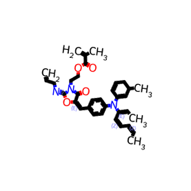 C=CC/N=C1/O/C(=C/c2ccc(N(C3=CC(C)CC=C3)C(/C=C\C=C/C)=C/C)cc2)C(=O)N1CCOC(=O)C(=C)C